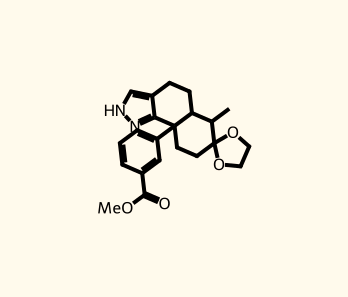 COC(=O)c1cccc(C23CCC4(OCCO4)C(C)C2CCc2c[nH]nc23)c1